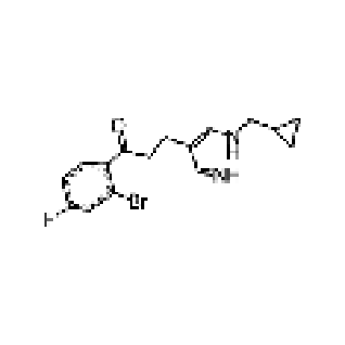 N=C/C(=C\NCC1CC1)CCC(=O)c1ccc(F)cc1Br